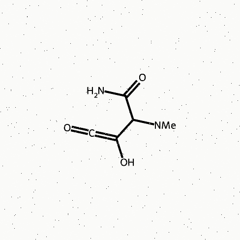 CNC(C(N)=O)C(O)=C=O